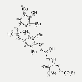 CCOC(=O)CC[C@H](NCC(O)COc1c(C(C)(C)C)cc(SC(C)(C)Sc2cc(C(C)(C)C)c(O)c(C(C)(C)C)c2)cc1C(C)(C)C)C(=O)OC